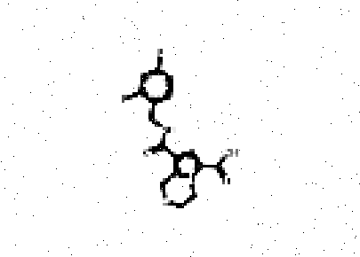 O=C(NCc1ccc(F)cc1F)c1cc(C(=O)O)n2c1COCC2